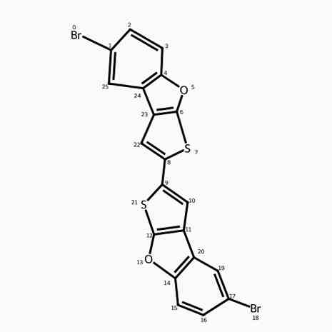 Brc1ccc2oc3sc(-c4cc5c(oc6ccc(Br)cc65)s4)cc3c2c1